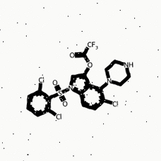 O=C(Oc1cn(S(=O)(=O)c2c(Cl)cccc2Cl)c2ccc(Cl)c(N3CCNCC3)c12)C(F)(F)F